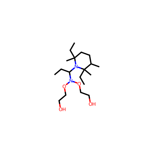 CCC(N(OCCO)OCCO)N1C(C)(CC)CCC(C)C1(C)CC